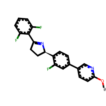 CC(C)Oc1ccc(-c2ccc([C@H]3CCC(c4c(F)cccc4F)=N3)c(F)c2)cn1